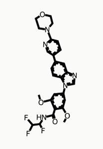 COc1cc(-n2cnc3cc(-c4ccc(N5CCOCC5)nc4)ccc32)cc(OC)c1C(=O)NC(F)C(F)F